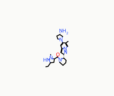 CCC1CC(C(=O)N2CCCC[C@H]2c2cc3cc(N4CC[C@H](N)C4)c(C)cn3n2)N(C)N1